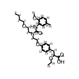 CCCCOCCN(CCOc1ccc(CC(OCC)C(=O)O)cc1)C(=O)Nc1cc(C)ccc1OC